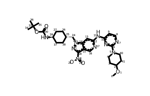 COC1CCN(c2nccc(Nc3cc4c(cn3)c([N+](=O)[O-])nn4C[C@H]3CC[C@H](NC(=O)OC(C)(C)C)CC3)n2)CC1